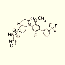 COc1cc(-c2cccc(C(F)(F)F)c2)c(F)cc1N1C(=O)CC[C@@H]2CN(S(=O)(=O)Nc3ccon3)CCC21